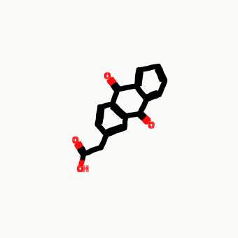 O=C(O)Cc1ccc2c(c1)C(=O)c1ccccc1C2=O